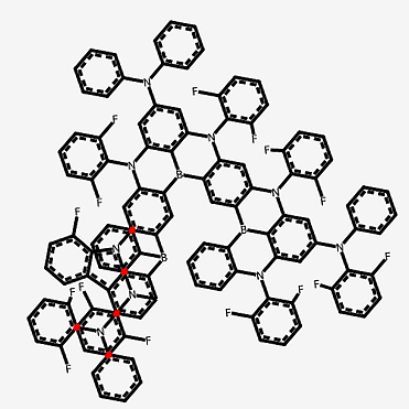 Fc1cccc(F)c1N(c1ccccc1)c1cc2c3c(c1)N(c1c(F)cccc1F)c1cc4c(cc1B3c1ccccc1N2c1c(F)cccc1F)B1c2cc3c(cc2N(c2c(F)cccc2F)c2cc(N(c5ccccc5)c5ccccc5)cc(c21)N4c1c(F)cccc1F)-n1c2c(F)cccc2c2c(N(c4ccccc4)c4c(F)cccc4F)cc4c(c21)B3c1ccccc1N4c1c(F)cccc1F